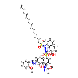 CCCCCCCCCCCCCCCCS(=O)(=O)Nc1cccc2ccc(O)c(NS(=O)(=O)c3ccc(NC(C)=O)c4c(O)c(N=Nc5ccccc5OC)ccc34)c12